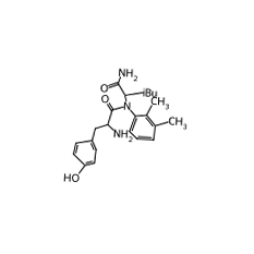 CCC(C)C(C(N)=O)N(C(=O)C(N)Cc1ccc(O)cc1)c1cccc(C)c1C